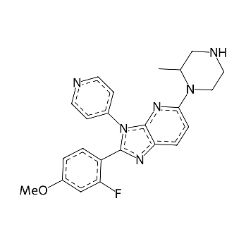 COc1ccc(-c2nc3ccc(N4CCNCC4C)nc3n2-c2ccncc2)c(F)c1